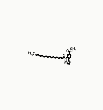 CCCCCCCCCCCCCCCCC(=O)Nc1cc(C(=O)OC)ccc1-c1ncc[nH]1